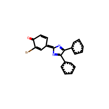 O=C1C=CC(=C2N=C(c3ccccc3)C(c3ccccc3)=N2)C=C1Br